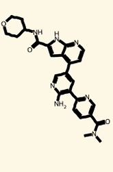 CN(C)C(=O)c1ccc(-c2cc(-c3ccnc4[nH]c(C(=O)NC5CCOCC5)cc34)cnc2N)nc1